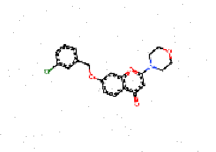 O=c1cc(N2CCOCC2)oc2cc(OCc3cccc(Cl)c3)ccc12